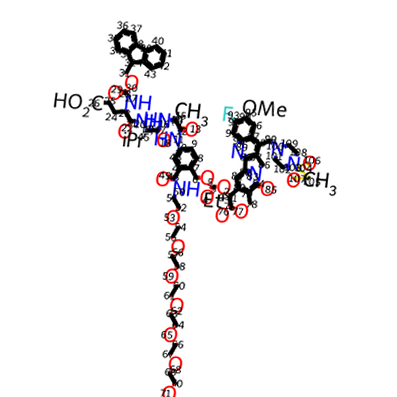 CC[C@@]1(OC(=O)OCc2ccc(NC(=O)[C@@H](C)NC(=O)[C@@H](NC(=O)C(CCC(=O)O)NC(=O)OCC3c4ccccc4-c4ccccc43)C(C)C)cc2C(=O)NCCOCCOCCOCCOCCOCCOCCOCCOC)C(=O)OCc2c1cc1n(c2=O)Cc2c-1nc1cc(F)c(OC)cc1c2CN1CCN(S(C)(=O)=O)CC1